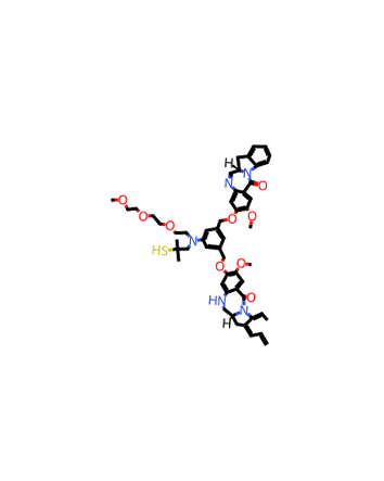 C=C/C=C1/C[C@H]2CNc3cc(OCc4cc(COc5cc6c(cc5OC)C(=O)N5c7ccccc7C[C@H]5C=N6)cc(N(CCOCCOCCOC)CC(C)(C)S)c4)c(OC)cc3C(=O)N2/C1=C/C